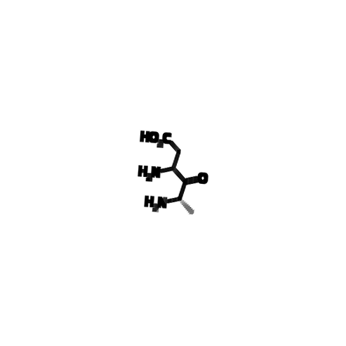 C[C@H](N)C(=O)C(N)CC(=O)O